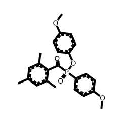 COc1ccc(OP(=O)(C(=O)c2c(C)cc(C)cc2C)c2ccc(OC)cc2)cc1